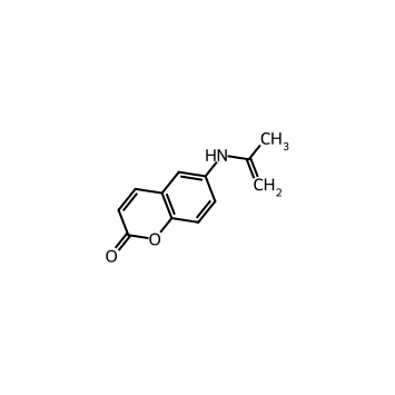 C=C(C)Nc1ccc2oc(=O)ccc2c1